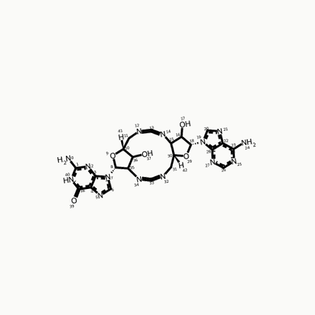 Nc1nc2c(ncn2[C@@H]2O[C@@H]3CN=C=NC4C(O)[C@H](n5cnc6c(N)ncnc65)O[C@@H]4CN=C=NC2C3O)c(=O)[nH]1